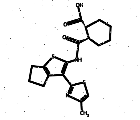 Cc1csc(-c2c(NC(=O)[C@@H]3CCCC[C@H]3C(=O)O)sc3c2CCC3)n1